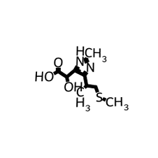 CSCC(C)c1nc(C)[nH]c1C(O)C(=O)O